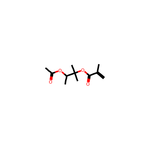 C=C(C)C(=O)OC(C)(C)C(C)OC(C)=O